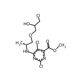 COC(=O)c1nc(Cl)nc(N[C@@H](C)COCC(O)CCl)c1Cl